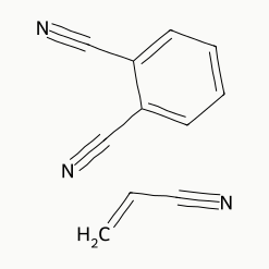 C=CC#N.N#Cc1ccccc1C#N